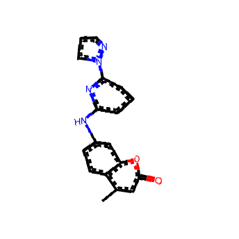 Cc1cc(=O)oc2cc(Nc3cccc(-n4cccn4)n3)ccc12